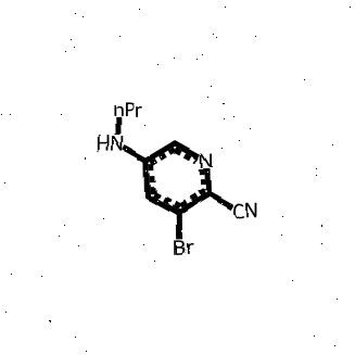 C[CH]CNc1cnc(C#N)c(Br)c1